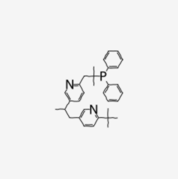 CC(Cc1ccc(C(C)(C)C)nc1)c1ccc(CC(C)(C)P(c2ccccc2)c2ccccc2)nc1